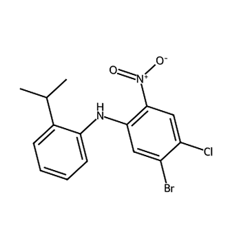 CC(C)c1ccccc1Nc1cc(Br)c(Cl)cc1[N+](=O)[O-]